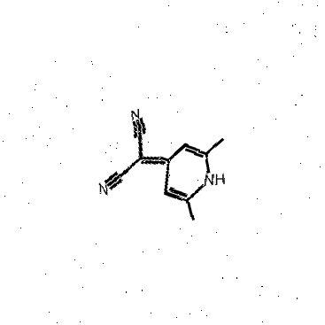 CC1=CC(=C(C#N)C#N)C=C(C)N1